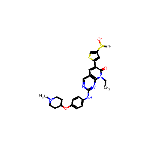 CC(C)[S+]([O-])c1csc(-c2cc3cnc(Nc4ccc(OC5CCN(C)CC5)cc4)nc3n(CC(F)(F)F)c2=O)c1